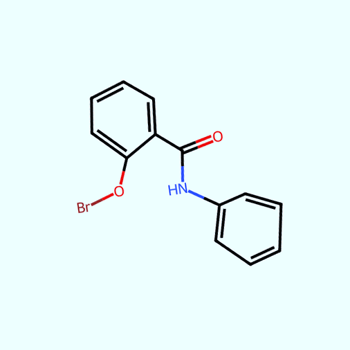 O=C(Nc1ccccc1)c1ccccc1OBr